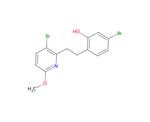 COc1ccc(Br)c(CCc2ccc(Br)cc2O)n1